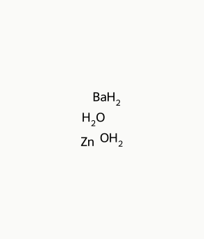 O.O.[BaH2].[Zn]